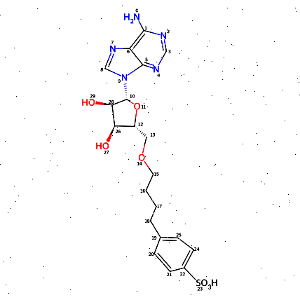 Nc1ncnc2c1ncn2[C@@H]1O[C@H](COCCCCc2ccc(S(=O)(=O)O)cc2)[C@@H](O)[C@H]1O